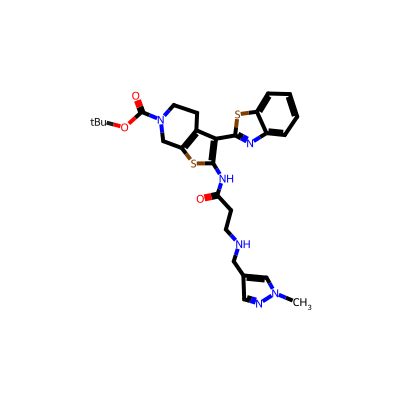 Cn1cc(CNCCC(=O)Nc2sc3c(c2-c2nc4ccccc4s2)CCN(C(=O)OC(C)(C)C)C3)cn1